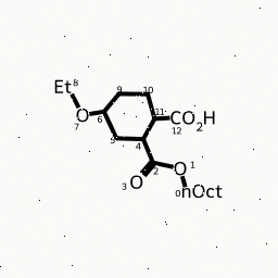 CCCCCCCCOC(=O)C1CC(OCC)CCC1C(=O)O